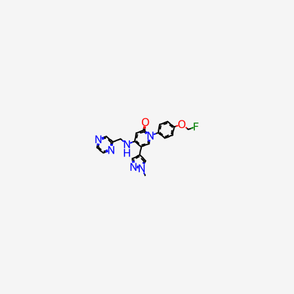 Cn1cc(-c2cn(-c3ccc(OCF)cc3)c(=O)cc2NCc2cnccn2)cn1